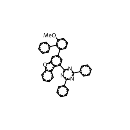 COc1cccc(-c2cc(-c3nc(-c4ccccc4)nc(-c4ccccc4)n3)c3c(c2)oc2ccccc23)c1-c1ccccc1